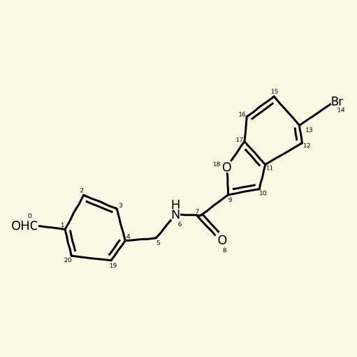 O=Cc1ccc(CNC(=O)c2cc3cc(Br)ccc3o2)cc1